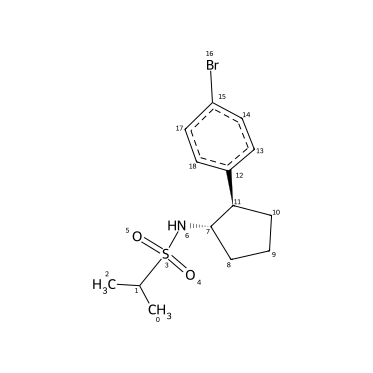 CC(C)S(=O)(=O)N[C@H]1CCC[C@@H]1c1ccc(Br)cc1